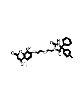 CCCc1c(OCCOCCN2C(=O)NC(c3ccccc3)(c3ccc(C)cc3)C2=O)ccc2c(C(F)(F)F)cc(=O)oc12